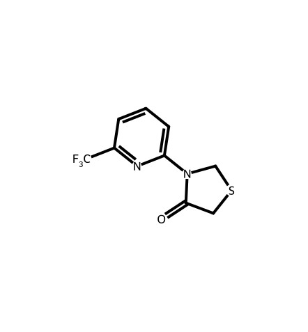 O=C1CSCN1c1cccc(C(F)(F)F)n1